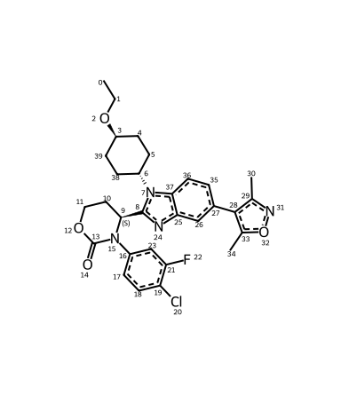 CCO[C@H]1CC[C@H](n2c([C@@H]3CCOC(=O)N3c3ccc(Cl)c(F)c3)nc3cc(-c4c(C)noc4C)ccc32)CC1